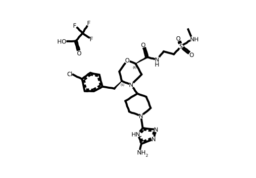 CNS(=O)(=O)CCNC(=O)[C@H]1CN(C2CCN(c3nnc(N)[nH]3)CC2)[C@@H](Cc2ccc(Cl)cc2)CO1.O=C(O)C(F)(F)F